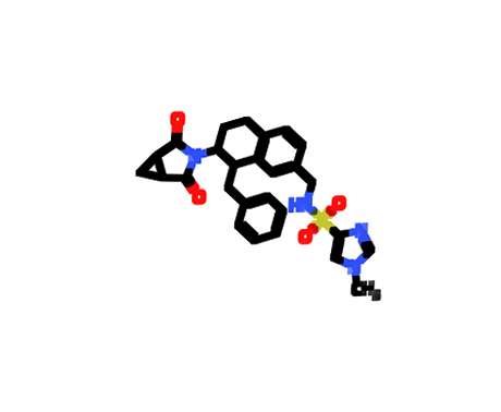 Cn1cnc(S(=O)(=O)NCc2ccc3c(c2)C(Cc2ccccc2)C(N2C(=O)C4CC4C2=O)CC3)c1